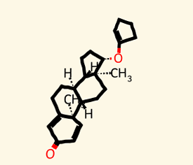 C[C@]12CC[C@H]3[C@@H](CCC4=CC(=O)C=C[C@@]43C)[C@@H]1CC[C@@H]2OC1=CCCC1